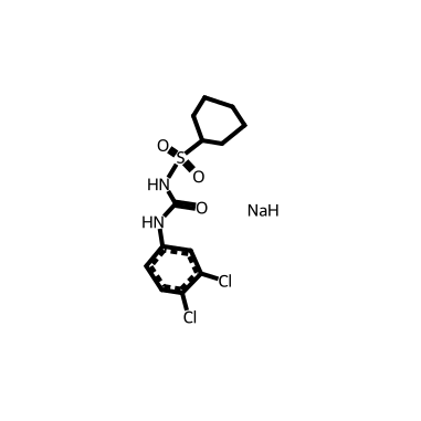 O=C(Nc1ccc(Cl)c(Cl)c1)NS(=O)(=O)C1CCCCC1.[NaH]